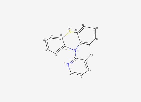 Cc1cccnc1N1c2ccccc2Sc2ccccc21